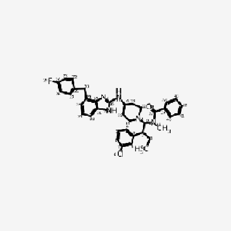 CCC(c1cccc(Cl)c1)C(N1CCC(Nc2nc3c(Cc4ccc(F)cc4)cccc3[nH]2)CC1)N(C)C(=O)c1ccccc1